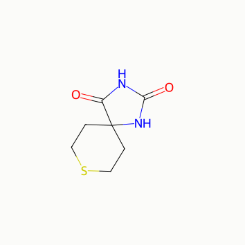 O=C1NC(=O)C2(CCSCC2)N1